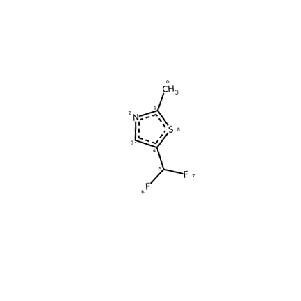 Cc1n[c]c(C(F)F)s1